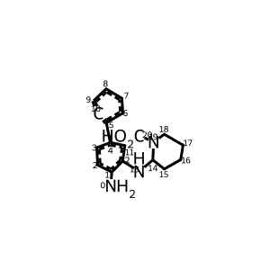 Nc1ccc(-c2ccccc2)cc1NC1CCCCN1C(=O)O